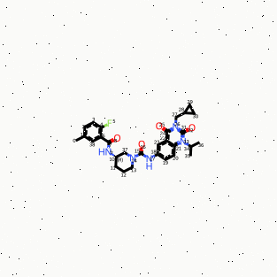 Cc1ccc(F)c(C(=O)N[C@@H]2CCCN(C(=O)Nc3ccc4c(c3)c(=O)n(CC3CC3)c(=O)n4C(C)C)C2)c1